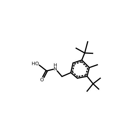 Cc1c(C(C)(C)C)cc(CNC(=O)O)cc1C(C)(C)C